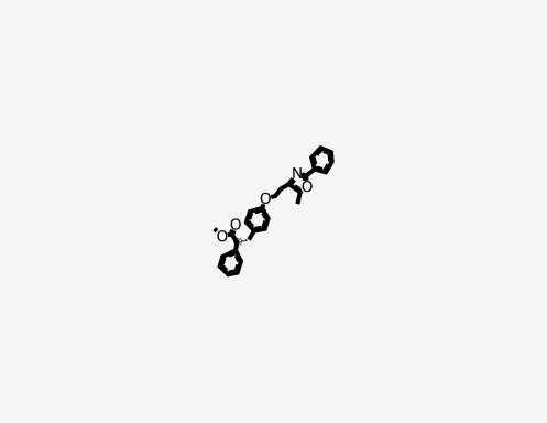 COC(=O)[C@H](Cc1ccc(OCCc2nc(-c3ccccc3)oc2C)cc1)c1ccccc1